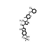 Cc1cc(Oc2ccccc2Cl)ncc1-n1ncc(C(=O)c2cc3cc(NS(C)(=O)=O)c(F)cc3[nH]2)c1N